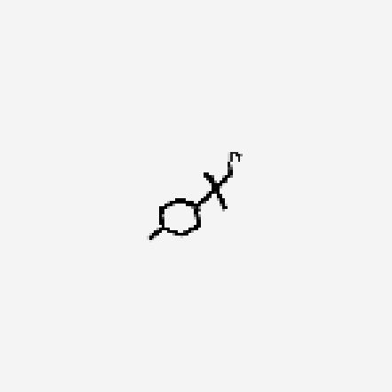 CC(C)CC(C)(C)C1[CH]CC(C)CC1